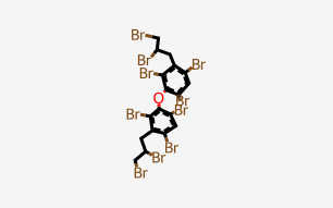 BrCC(Br)Cc1c(Br)cc(Br)c(Oc2c(Br)cc(Br)c(CC(Br)CBr)c2Br)c1Br